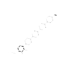 C=CC1CCC(C2CCC(C3CCC(C4CCC(c5ccc(OCCC)c(F)c5F)CC4)CC3)OC2)CC1